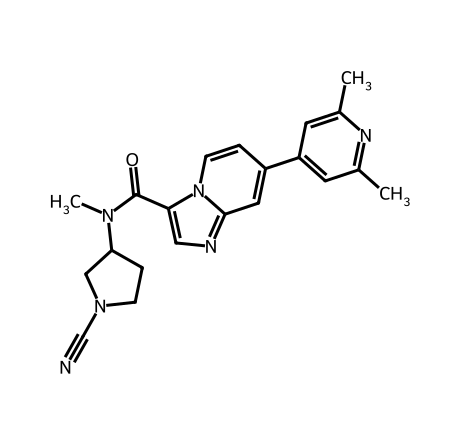 Cc1cc(-c2ccn3c(C(=O)N(C)C4CCN(C#N)C4)cnc3c2)cc(C)n1